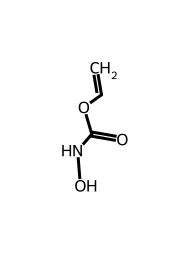 C=COC(=O)NO